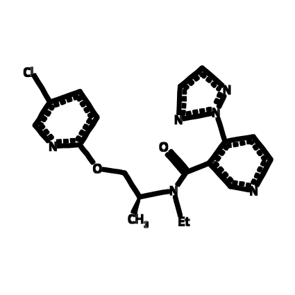 CCN(C(=O)c1cnccc1-n1nccn1)[C@@H](C)COc1ccc(Cl)cn1